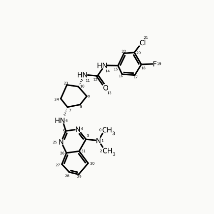 CN(C)c1nc(N[C@H]2CC[C@@H](NC(=O)Nc3ccc(F)c(Cl)c3)CC2)nc2ccccc12